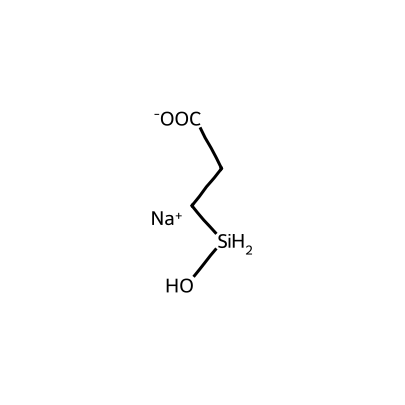 O=C([O-])CC[SiH2]O.[Na+]